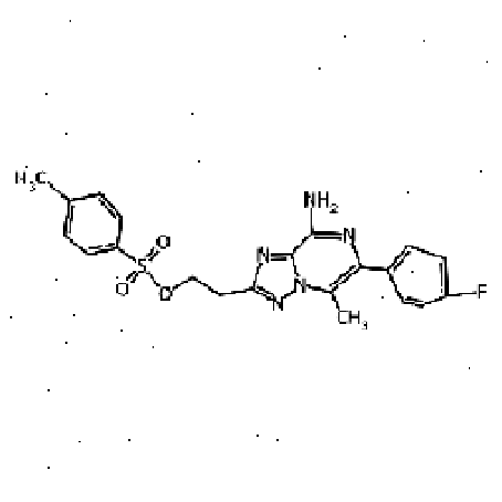 Cc1ccc(S(=O)(=O)OCCc2nc3c(N)nc(-c4ccc(F)cc4)c(C)n3n2)cc1